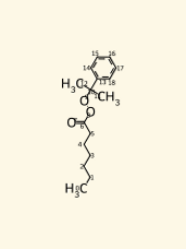 CCCCCCC(=O)OOC(C)(C)c1ccccc1